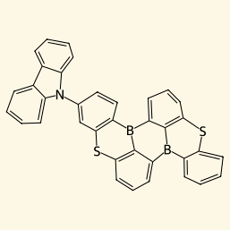 c1ccc2c(c1)Sc1cccc3c1B2c1cccc2c1B3c1ccc(-n3c4ccccc4c4ccccc43)cc1S2